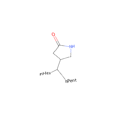 CCCCCCC(CCCCC)C1CNC(=O)C1